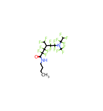 CCCCNC(=O)C(F)(F)C(F)(F)C(C(F)F)C(F)(F)C(F)(F)N(C(F)(F)F)C(F)(F)C(F)F